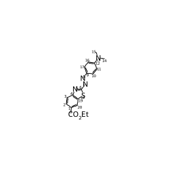 CCOC(=O)c1ccc2nc(/N=N/c3ccc(N(C)C)cc3)sc2c1